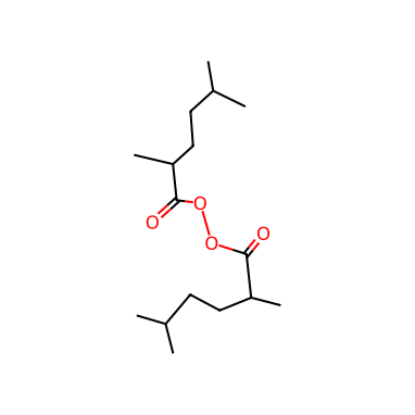 CC(C)CCC(C)C(=O)OOC(=O)C(C)CCC(C)C